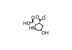 COC(=O)[C@H]1CC(O)CN[C@@H]1C(=O)O